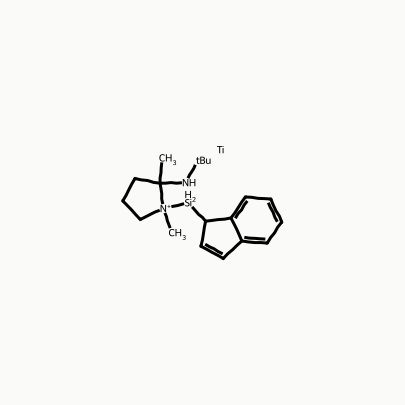 CC(C)(C)NC1(C)CCC[N+]1(C)[SiH2]C1C=Cc2ccccc21.[Ti]